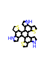 c1cc2c([nH]1)c1c(c3c2c2c4sccc4c4[nH]ccc4c2c2c4sccc4c4[nH]ccc4c32)SCC1